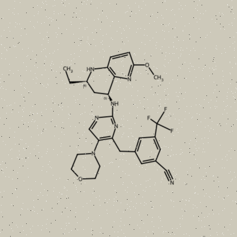 CC[C@@H]1C[C@H](Nc2ncc(N3CCOCC3)c(Cc3cc(C#N)cc(C(F)(F)F)c3)n2)c2nc(OC)ccc2N1